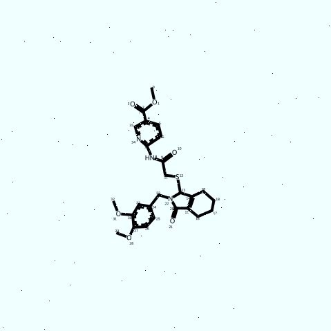 COC(=O)c1ccc(NC(=O)CSC2C3=C(CCCC3)C(=O)N2Cc2ccc(OC)c(OC)c2)nc1